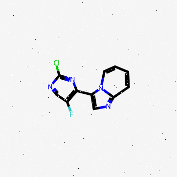 Fc1cnc(Cl)nc1-c1cnc2ccccn12